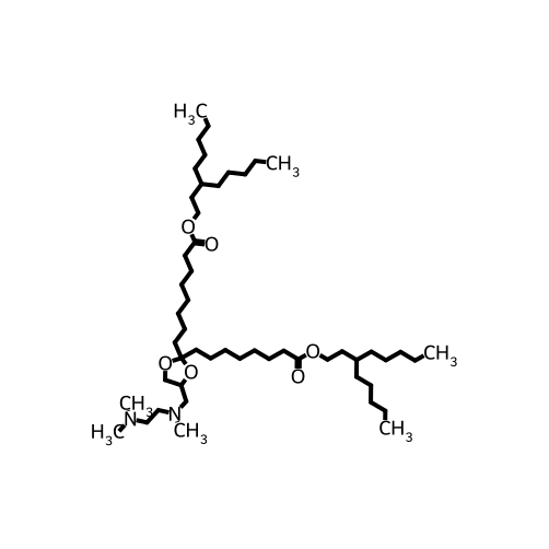 CCCCCC(CCCCC)CCOC(=O)CCCCCCCC1(CCCCCCCC(=O)OCCC(CCCCC)CCCCC)OCC(CN(C)CCN(C)C)O1